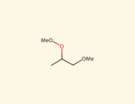 COCC(C)OOC